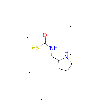 O=C(S)NCC1CCCN1